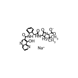 CC1(C)S[C@@H]2C(NC(=O)Cc3ccccc3NC(=O)c3cnc4cccnc4c3O)C(=O)N2[C@H]1C(=O)[O-].[Na+]